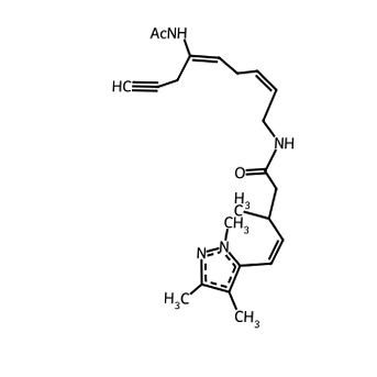 C#CC/C(=C\C/C=C\CNC(=O)CC(C)/C=C\c1c(C)c(C)nn1C)NC(C)=O